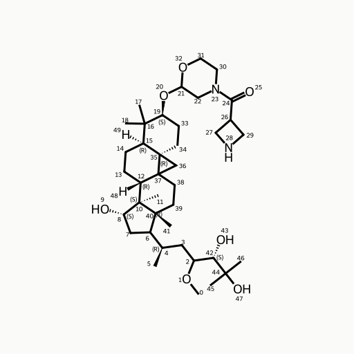 COC(C[C@@H](C)C1C[C@H](O)[C@@]2(C)[C@@H]3CC[C@H]4C(C)(C)[C@@H](OC5CN(C(=O)C6CNC6)CCO5)CC[C@@]45CC35CC[C@]12C)[C@H](O)C(C)(C)O